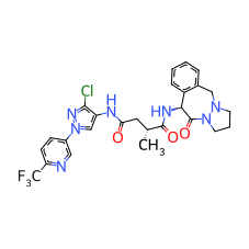 C[C@H](CC(=O)Nc1cn(-c2ccc(C(F)(F)F)nc2)nc1Cl)C(=O)N[C@@H]1C(=O)N2CCCN2Cc2ccccc21